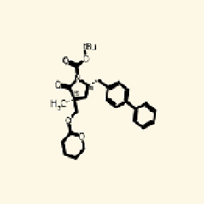 CC(C)(C)OC(=O)N1C(=O)[C@](C)(COC2CCCCO2)C[C@H]1Cc1ccc(-c2ccccc2)cc1